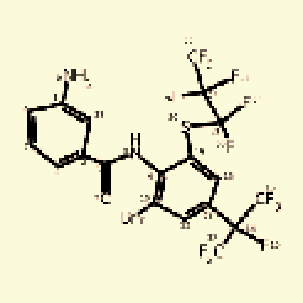 Nc1cccc(C(=O)Nc2c(Br)cc(C(F)(C(F)(F)F)C(F)(F)F)cc2SC(F)(F)C(F)(F)C(F)(F)F)c1